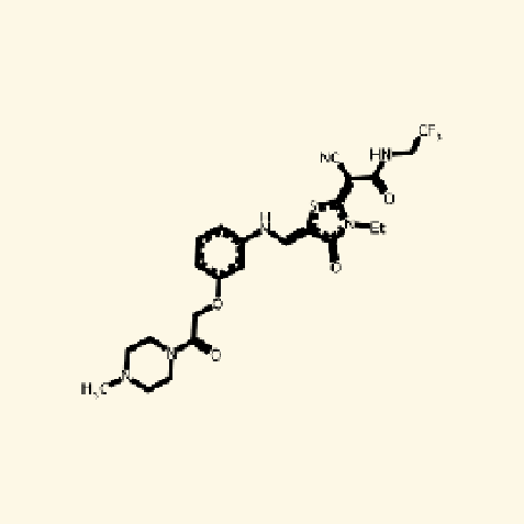 CCn1c(=C(C#N)C(=O)NCC(F)(F)F)sc(=CNc2cccc(OCC(=O)N3CCN(C)CC3)c2)c1=O